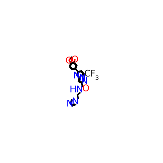 O=C(NCCCn1ccnc1)c1cc2nc(-c3ccc4c(c3)OCO4)cc(C(F)(F)F)n2n1